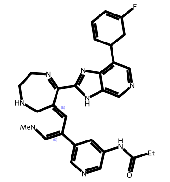 CCC(=O)Nc1cncc(C(/C=C2\CNCCN=C2c2nc3c(C4C=CC=C(F)C4)cncc3[nH]2)=C/NC)c1